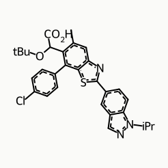 Cc1cc2nc(-c3ccc4c(cnn4C(C)C)c3)sc2c(-c2ccc(Cl)cc2)c1C(OC(C)(C)C)C(=O)O